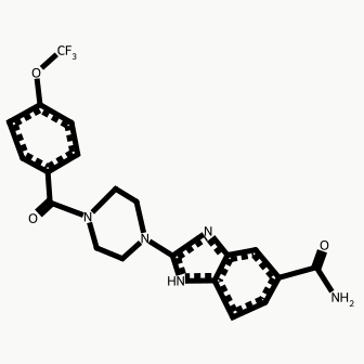 NC(=O)c1ccc2[nH]c(N3CCN(C(=O)c4ccc(OC(F)(F)F)cc4)CC3)nc2c1